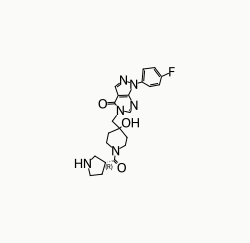 O=C([C@@H]1CCNC1)N1CCC(O)(Cn2cnc3c(cnn3-c3ccc(F)cc3)c2=O)CC1